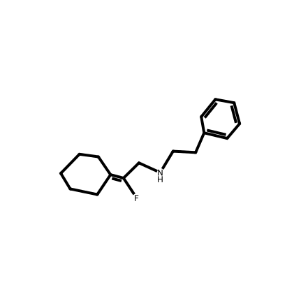 FC(CNCCc1ccccc1)=C1CCCCC1